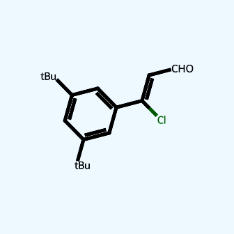 CC(C)(C)c1cc(/C(Cl)=C/C=O)cc(C(C)(C)C)c1